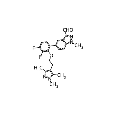 Cc1nn(C)c(C)c1CCOc1c(-c2ccc3c(c2)c(C=O)nn3C)ccc(F)c1F